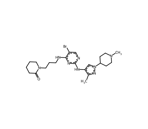 Cc1nn(C2CCN(C)CC2)cc1Nc1ncc(Br)c(NCCCN2CCCCC2=O)n1